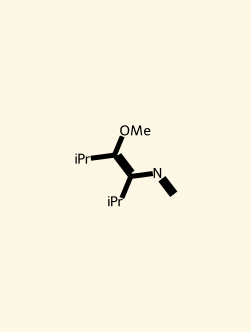 C=N/C(=C(\OC)C(C)C)C(C)C